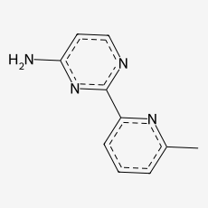 Cc1cccc(-c2nccc(N)n2)n1